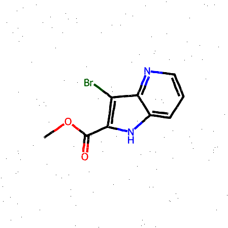 COC(=O)c1[nH]c2cccnc2c1Br